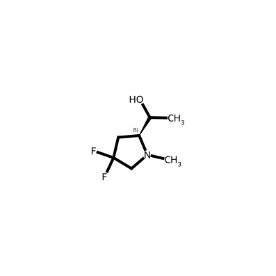 CC(O)[C@@H]1CC(F)(F)CN1C